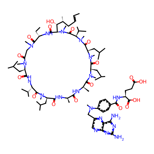 C/C=C/C[C@@H](C)[C@@H](O)[C@@H]1C(=O)N[C@@H](CC)C(=O)N(C)CC(=O)N(C)[C@H](CC(C)C)C(=O)N[C@@H](C(C)C)C(=O)N(C)[C@H](CC(C)C)C(=O)N[C@H](C)C(=O)N[C@H](C)C(=O)N(C)[C@H](CC(C)C)C(=O)N(C)[C@H](CC(C)C)C(=O)N(C)[C@H](C(C)C)C(=O)N1C.CN(Cc1cnc2nc(N)nc(N)c2n1)c1ccc(C(=O)N[C@@H](CCC(=O)O)C(=O)O)cc1